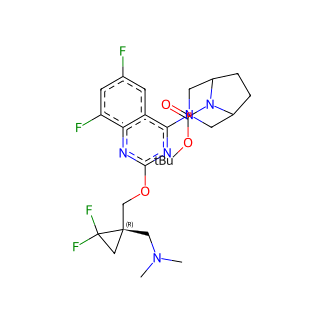 CN(C)C[C@@]1(COc2nc(N3CC4CCC(C3)N4C(=O)OC(C)(C)C)c3cc(F)cc(F)c3n2)CC1(F)F